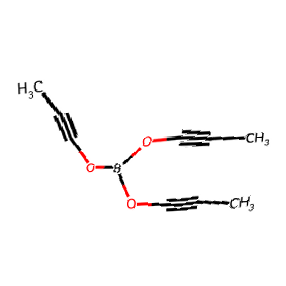 CC#COB(OC#CC)OC#CC